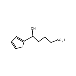 O=S(=O)(O)CCCC(O)c1cccs1